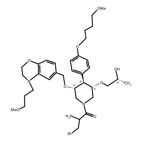 COCCCCOc1ccc([C@@H]2[C@@H](OCc3ccc4c(c3)N(CCCOC)CCO4)CN(C(=O)C(N)CC(C)C)C[C@H]2OC[C@@H](C)O)cc1